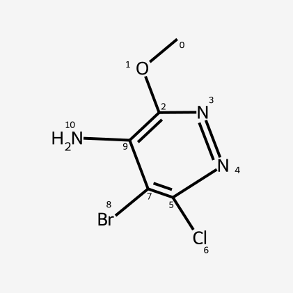 COc1nnc(Cl)c(Br)c1N